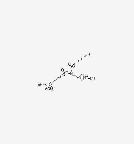 CCCCCCCCC(CCCCCC)C(=O)OCCCCCCOC(=O)CCN(CCCN1CCN(CCO)CC1)CCC(=O)OCCCCCCO